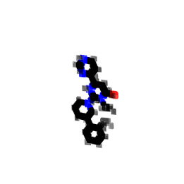 Cn1c(N2CCC=C(c3ccccc3C(F)(F)F)C2)nc(-c2ccncn2)cc1=O